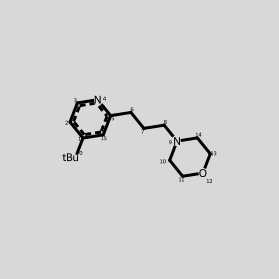 CC(C)(C)c1ccnc(CCCN2CCOCC2)c1